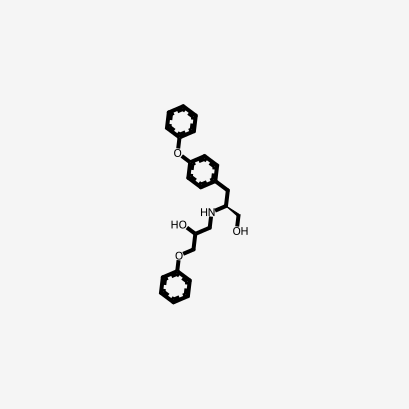 OC[C@H](Cc1ccc(Oc2ccccc2)cc1)NCC(O)COc1ccccc1